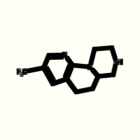 FC(F)(F)c1cnc2c(c1)CCC1CNCCN21